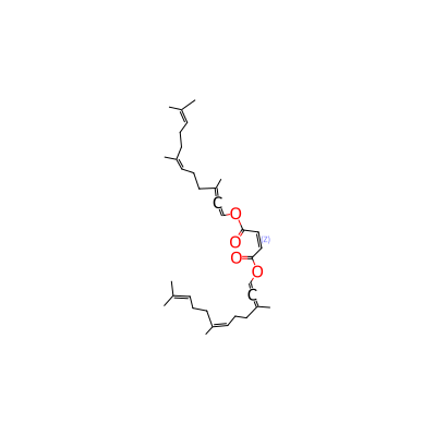 CC(=C=COC(=O)/C=C\C(=O)OC=C=C(C)CCC=C(C)CCC=C(C)C)CCC=C(C)CCC=C(C)C